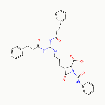 O=C(CCc1ccccc1)/N=C(\NCCCC1C(=O)N(C(=O)Nc2ccccc2)C1C(=O)O)NC(=O)CCc1ccccc1